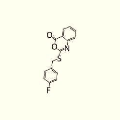 O=c1oc(SCc2ccc(F)cc2)nc2ccccc12